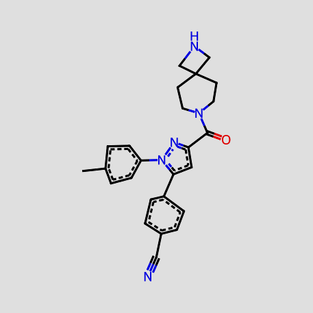 Cc1ccc(-n2nc(C(=O)N3CCC4(CC3)CNC4)cc2-c2ccc(C#N)cc2)cc1